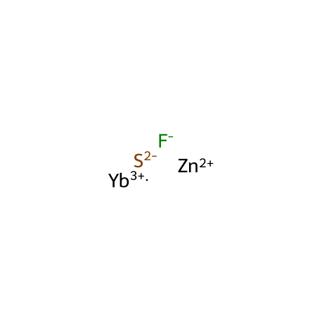 [F-].[S-2].[Yb+3].[Zn+2]